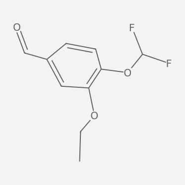 CCOc1cc(C=O)ccc1OC(F)F